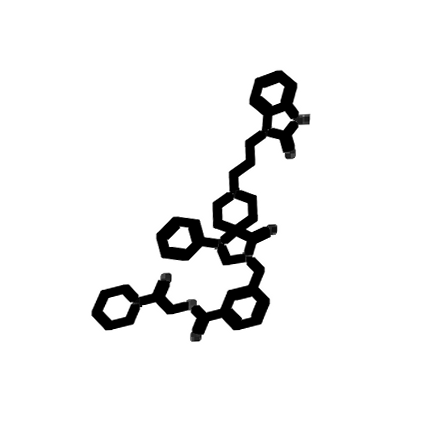 O=C(OCC(=O)N1CCCCC1)c1cccc(CN2CN(c3ccccc3)C3(CCN(CCCn4c(=O)[nH]c5ccccc54)CC3)C2=O)c1